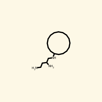 NCCC(N)CNC1CCCCCCCCCCCCCCC1